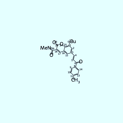 CCC(C)c1cc(C=CC(=O)c2ccc(C)cc2)cc2cc(C(=O)NC)c(=O)oc12